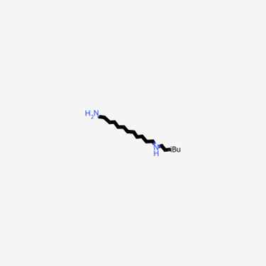 CCC(C)CCNCCCCCCCCCCCCN